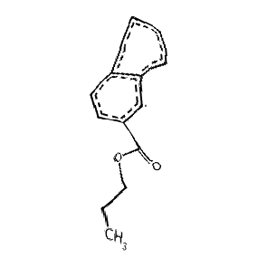 CCCOC(=O)c1[c]c2ccccc2cc1